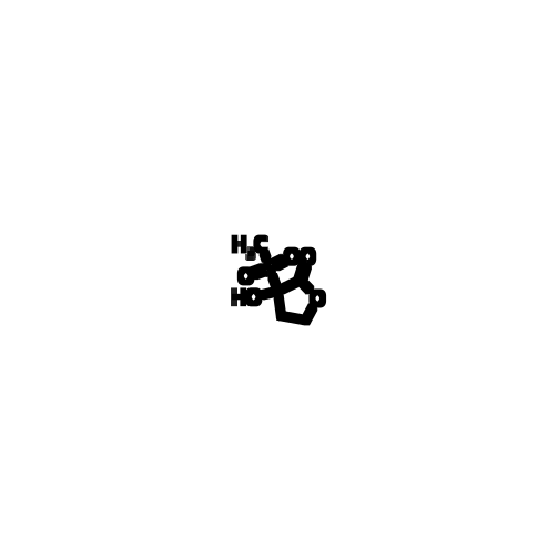 CS(=O)(=O)C1(O)CCOC1=O